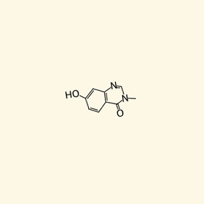 Cn1cnc2cc(O)ccc2c1=O